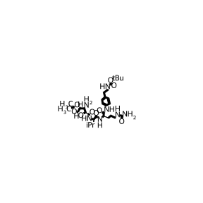 CC(C)[C@@H](NC(=O)[C@H]1O[C@@H]2OC(C)(C)O[C@@H]2[C@@H]1N)C(=O)N[C@H](CCCNC(N)=O)C(=O)Nc1ccc(CCNC(=O)OC(C)(C)C)cc1